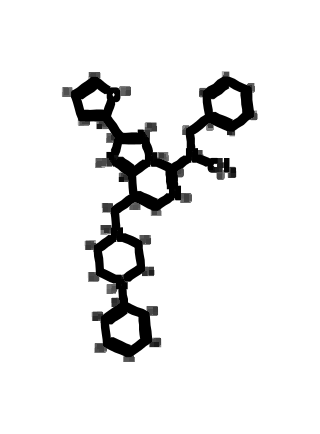 CN(Cc1ccccc1)c1ncc(CN2CCN(c3ccccc3)CC2)c2nc(-c3ccco3)nn12